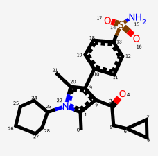 Cc1c(C(=O)CC2CC2)c(-c2ccc(S(N)(=O)=O)cc2)c(C)n1C1CCCCC1